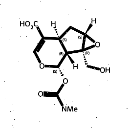 CNC(=O)O[C@@H]1OC=C(C(=O)O)[C@H]2C[C@@H]3O[C@@]3(CO)[C@H]12